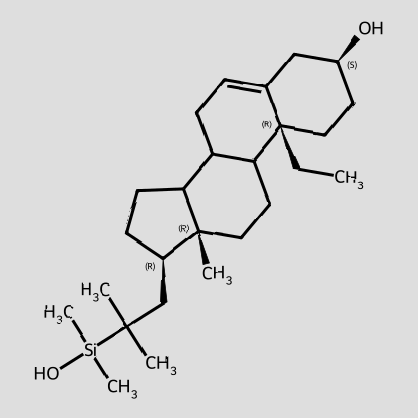 CC[C@]12CC[C@H](O)CC1=CCC1C2CC[C@@]2(C)C1CC[C@@H]2CC(C)(C)[Si](C)(C)O